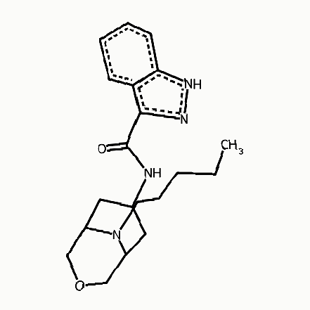 CCCCCN1C2COCC1CC(NC(=O)c1n[nH]c3ccccc13)C2